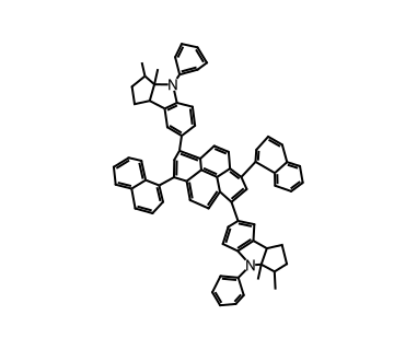 CC1CCC2c3cc(-c4cc(-c5cccc6ccccc56)c5ccc6c(-c7ccc8c(c7)C7CCC(C)C7(C)N8c7ccccc7)cc(-c7cccc8ccccc78)c7ccc4c5c67)ccc3N(c3ccccc3)C12C